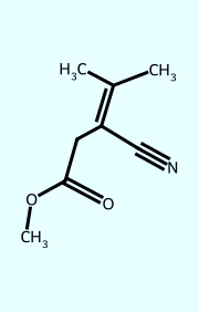 COC(=O)CC(C#N)=C(C)C